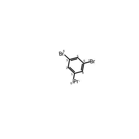 C[C](C)c1cc(Br)cc(Br)c1